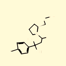 COC[C@@H]1CCCN1C(C)CC(C)(C)c1ccc(Cl)cc1